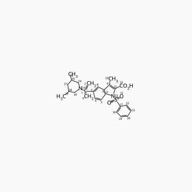 C=S(=C)(c1ccc2c(c1)c(C)c(C(=O)O)n2S(=O)(=O)c1ccccc1)N1CC(C)CC(C)C1